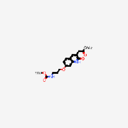 COC(=O)Cc1cc2ccc(OCCCNC(=O)OC(C)(C)C)cc2[nH]c1=O